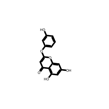 O=c1cc(Oc2cccc(O)c2)oc2cc(O)cc(O)c12